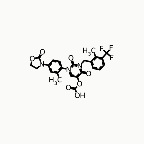 Cc1cc(N2CCOC2=O)ccc1-n1cc(OC(=O)O)c(=O)n(Cc2cccc(C(F)(F)F)c2C)c1=O